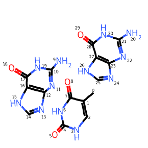 Cc1c[nH]c(=O)[nH]c1=O.Nc1nc2nc[nH]c2c(=O)[nH]1.Nc1nc2nc[nH]c2c(=O)[nH]1